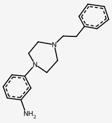 Nc1cccc(N2CCN(CCc3ccccc3)CC2)c1